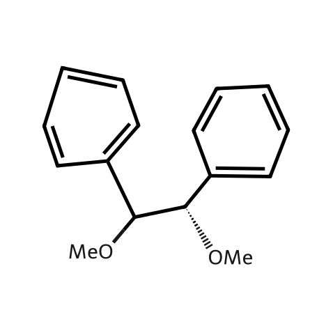 COC(c1ccccc1)[C@@H](OC)c1ccccc1